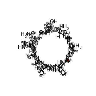 C=C[C@H]1C(=O)N[C@@H](CC(N)=O)C(=O)N2CCC[C@H]2C(=O)N[C@@H](CN)C(=O)N[C@@H](CC(C)C)C(=O)N2CCC[C@H]2C(=O)N[C@@H](Cc2c[nH]c3ccccc23)C(=O)N[C@@H](CO)C(=O)N[C@@H](Cc2c[nH]c3ccccc23)C(=O)N(C)[C@@H](CCCC)C(=O)N(C)[C@@H](CCSC)C(=O)N[C@@H](CCCNC(=N)N)C(=O)NC(C(=O)NCC(N)=O)CSCC(=O)N[C@@H](Cc2ccc(O)cc2)C(=O)N1C